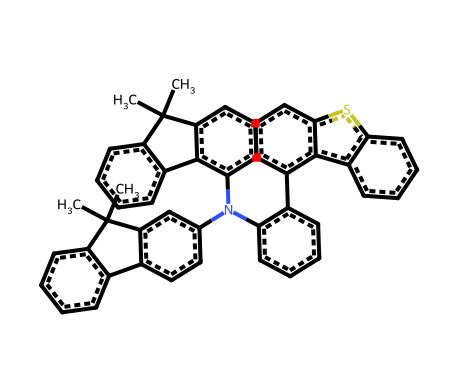 CC1(C)c2ccccc2-c2ccc(N(c3ccccc3-c3cccc4sc5ccccc5c34)c3cccc4c3-c3ccccc3C4(C)C)cc21